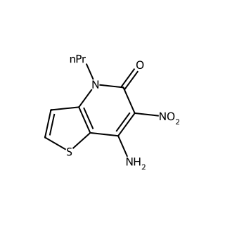 CCCn1c(=O)c([N+](=O)[O-])c(N)c2sccc21